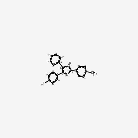 Cc1ccc(-c2nc(-c3ccc(F)cc3)c(-c3ccncc3)o2)cc1